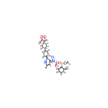 C[C@@H](OC(=O)Nc1ccnn1-c1ccc(-c2ccc(C3(C(=O)O)CC3)cc2)cc1)c1ccccc1Cl